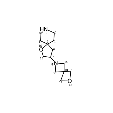 C1CC2(CCN1)CC(N1CC3(COC3)C1)CO2